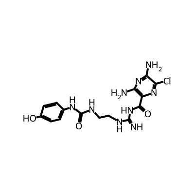 N=C(NCCNC(=O)Nc1ccc(O)cc1)NC(=O)c1nc(Cl)c(N)nc1N